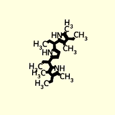 CCc1c(C)[nH]c(C(CC)c2ccc(C(CC)c3[nH]c(C)c(CC)c3C)[nH]2)c1C